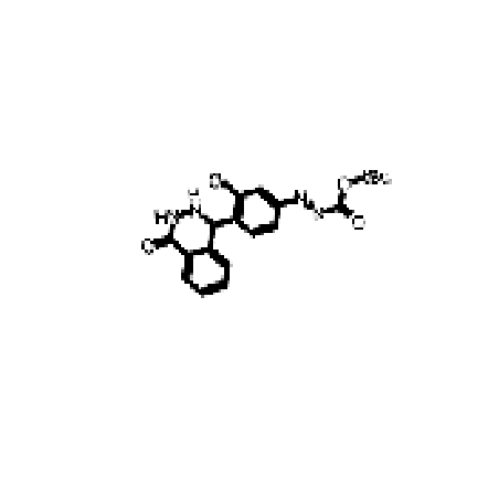 CC(C)(C)OC(=O)N=Nc1ccc(C2NNC(=O)c3ccccc32)c(Cl)c1